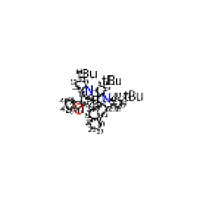 CC(C)(C)c1cc2c3c(c1)-n1c4cc(C(C)(C)C)ccc4c4c5c(cc(c41)B3c1c3ccc4ccccc4c3cc3c4ccc(C(C)(C)C)cc4n-2c13)oc1ccccc15